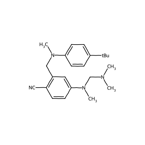 CN(C)CN(C)c1ccc(C#N)c(CN(C)c2ccc(C(C)(C)C)cc2)c1